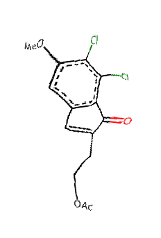 COc1cc2c(c(Cl)c1Cl)C(=O)C(CCOC(C)=O)=C2